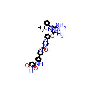 Cc1ccccc1/C(N)=C/C(=C(N)N)N1CC(Oc2cccc(N3CCN(C(=O)CN4CCC(c5ccc(NC6CCC(=O)NC6=O)cc5)CC4)CC3)c2)C1